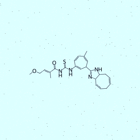 COC/C=C(\C)C(=O)NC(=S)NC1=CC(C2=NC3/C=C\CC=CCC3N2)C=C(C)C=C1